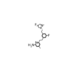 Cc1cc(N)nc(CCc2cc(F)cc(CC[C@@H]3C[C@H](F)CN3C)c2)c1